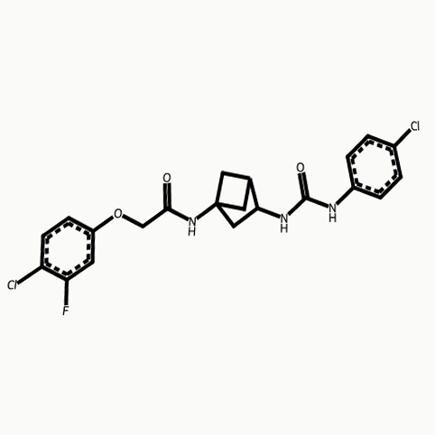 O=C(COc1ccc(Cl)c(F)c1)NC12CC(C1)C(NC(=O)Nc1ccc(Cl)cc1)C2